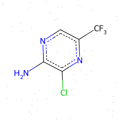 Nc1ncc(C(F)(F)F)nc1Cl